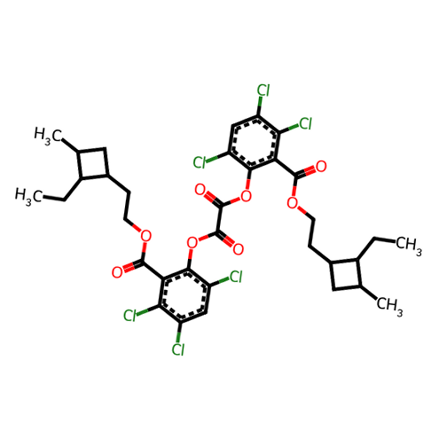 CCC1C(C)CC1CCOC(=O)c1c(Cl)c(Cl)cc(Cl)c1OC(=O)C(=O)Oc1c(Cl)cc(Cl)c(Cl)c1C(=O)OCCC1CC(C)C1CC